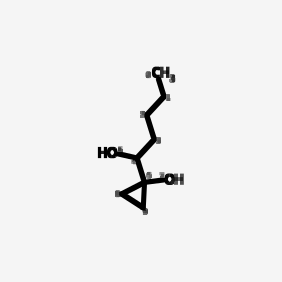 CCCCC(O)C1(O)CC1